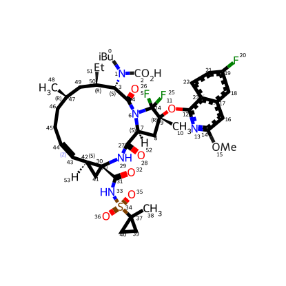 CCC(C)N(C(=O)O)[C@@H]1C(=O)N2[C@@H](C[C@@](C)(Oc3nc(OC)cc4cc(F)ccc34)C2(F)F)C(=O)N[C@]2(C(=O)NS(=O)(=O)C3(C)CC3)C[C@H]2/C=C\CC[C@@H](C)C[C@H]1CC